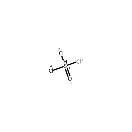 O=[SH](Cl)(Cl)Cl